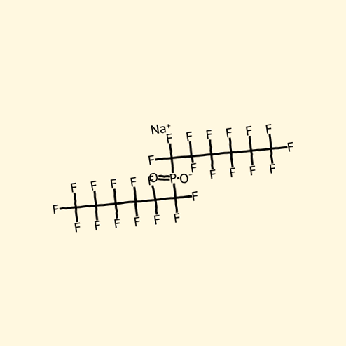 O=P([O-])(C(F)(F)C(F)(F)C(F)(F)C(F)(F)C(F)(F)C(F)(F)F)C(F)(F)C(F)(F)C(F)(F)C(F)(F)C(F)(F)C(F)(F)F.[Na+]